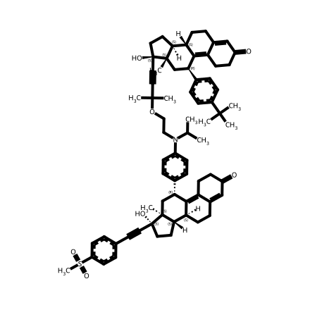 CC(C)N(CCOC(C)(C)C#C[C@]1(O)CC[C@H]2[C@@H]3CCC4=CC(=O)CCC4=C3[C@@H](c3ccc(C(C)(C)C)cc3)C[C@@]21C)c1ccc([C@H]2C[C@@]3(C)[C@@H](CC[C@@]3(O)C#Cc3ccc(S(C)(=O)=O)cc3)[C@@H]3CCC4=CC(=O)CCC4=C32)cc1